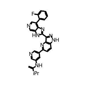 C=C(Nc1cncc(-c2ccc3[nH]nc(-c4nc5c(-c6ccccc6F)cncc5[nH]4)c3n2)c1)C(C)C